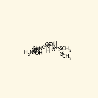 CCC(=O)CCC(C)SSCCNC(=O)CC[C@H](NC(=O)c1ccc(NCc2cnc3nc(N)nc(O)c3n2)cc1)C(=O)O